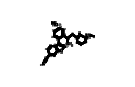 CNc1cccc(CC(N)c2ccccc2-c2noc3cc(C#N)ccc23)n1.Cl.Cl